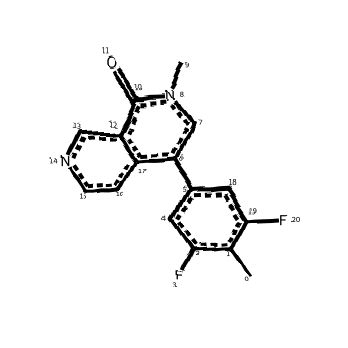 Cc1c(F)cc(-c2cn(C)c(=O)c3cnccc23)cc1F